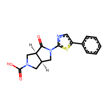 O=C(O)N1C[C@@H]2CN(c3ncc(-c4ccccc4)s3)C(=O)[C@@H]2C1